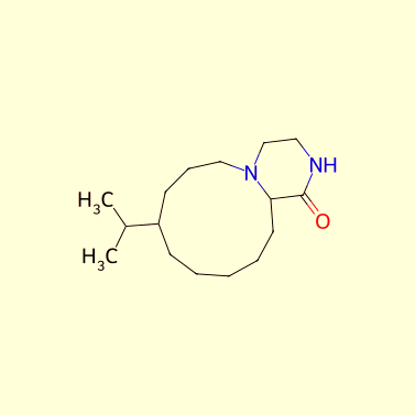 CC(C)C1CCCCCC2C(=O)NCCN2CCC1